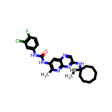 CBC1(Nc2cnc3cc(NC(=O)Nc4ccc(F)c(Cl)c4)c(C)nc3n2)CCCCCCC1